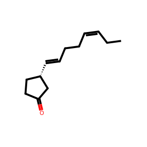 CC/C=C\CC/C=C/[C@H]1CCC(=O)C1